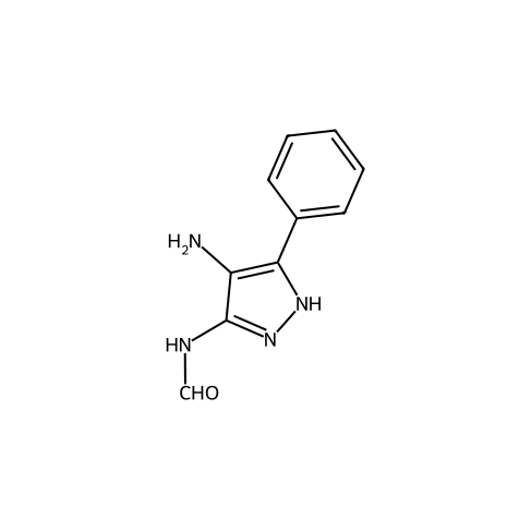 Nc1c(NC=O)n[nH]c1-c1ccccc1